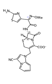 CO/N=C(\C(=O)N[C@@H]1C(=O)N2C(C(=O)[O-])=C(Cn3cc(C#N)[n+]4ccccc34)CS[C@H]12)c1csc(N)n1